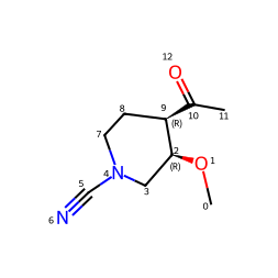 CO[C@H]1CN(C#N)CC[C@H]1C(C)=O